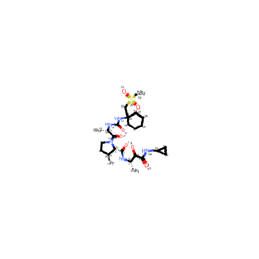 CCC[C@H](NC(=O)[C@@H]1[C@@H](C(C)C)CCN1C(=O)[C@@H](NC(=O)NC1(CS(=O)(=O)C(C)(C)C)CCCCC1)C(C)(C)C)C(=O)C(=O)NC1CC1